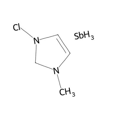 CN1C=CN(Cl)C1.[SbH3]